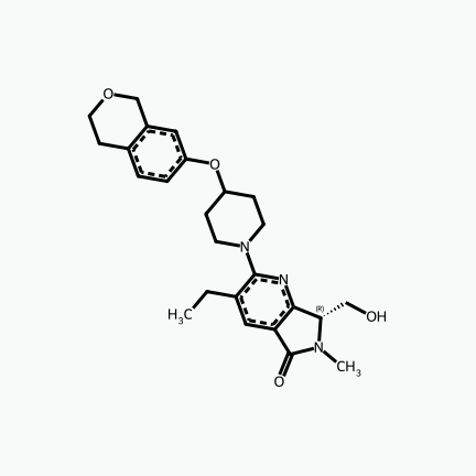 CCc1cc2c(nc1N1CCC(Oc3ccc4c(c3)COCC4)CC1)[C@H](CO)N(C)C2=O